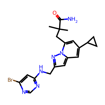 CC(C)(Cc1cc(C2CC2)cc2cc(CNc3cc(Br)ncn3)nn12)C(N)=O